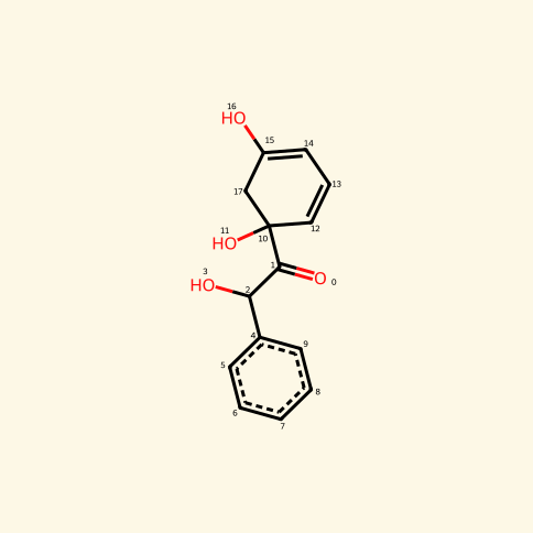 O=C(C(O)c1ccccc1)C1(O)C=CC=C(O)C1